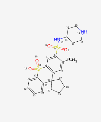 Cc1cc2c(cc1S(=O)(=O)NC1CCNCC1)S(=O)(=O)c1ccccc1C21CCCC1